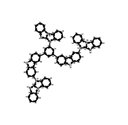 c1ccc2c(c1)nc1n(-c3cc(-c4ccc5oc6ccc(-n7c8ccccc8n8c9ccccc9nc78)cc6c5c4)cc(-c4ccc5oc6ccc(-n7c8ccccc8n8c9ccccc9nc78)cc6c5c4)c3)c3ccccc3n21